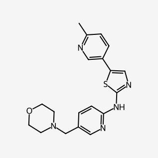 Cc1ccc(-c2cnc(Nc3ccc(CN4CCOCC4)cn3)s2)cn1